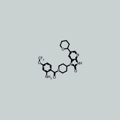 Nc1cc(OC(F)(F)F)ccc1C(=O)N1CCC(n2c(=O)[nH]c3ncc(C4CCCCO4)cc32)CC1